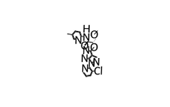 COC[C@H](Oc1ncnc2c1cnn2-c1ncccc1Cl)C(=O)Nc1ccc(C)cn1